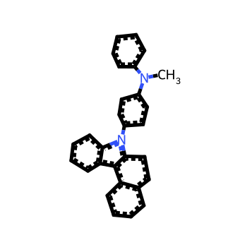 CN(c1ccccc1)c1ccc(-n2c3ccccc3c3c4ccccc4ccc32)cc1